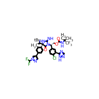 C=C(C(C)(C)C)[C@]1(c2ccc(-c3cnn(C(F)F)c3)cc2)NC(=N)N([C@H](COC(=O)NC(C)(C)C(F)(F)F)c2ccc(Cl)c(-c3ncn[nH]3)c2)C1=O